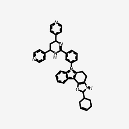 C1=CCC(C2NC3=C(O2)c2c(n(-c4cccc(C5=NC(c6ccncc6)CC(c6ccncc6)N5)c4)c4ccccc24)CC3)CC1